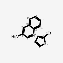 CCc1cccs1.Nc1cnc2ccccc2c1